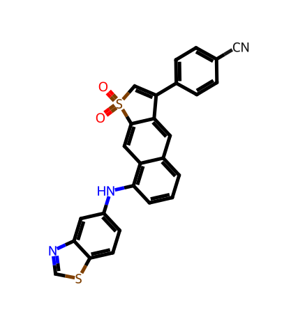 N#Cc1ccc(C2=CS(=O)(=O)c3cc4c(Nc5ccc6scnc6c5)cccc4cc32)cc1